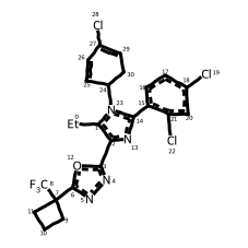 CCc1c(-c2nnc(C3(C(F)(F)F)CCC3)o2)nc(-c2ccc(Cl)cc2Cl)n1C1C=CC(Cl)=CC1